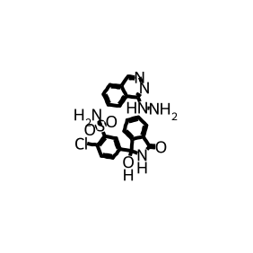 NNc1nncc2ccccc12.NS(=O)(=O)c1cc(C2(O)NC(=O)c3ccccc32)ccc1Cl